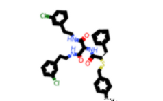 COc1ccc(CS[C@@H](Cc2ccccc2)C(=O)NC(C(=O)NCCc2cccc(Cl)c2)C(=O)NCCc2cccc(Cl)c2)cc1